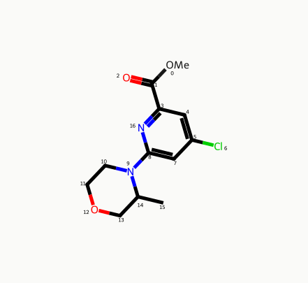 COC(=O)c1cc(Cl)cc(N2CCOCC2C)n1